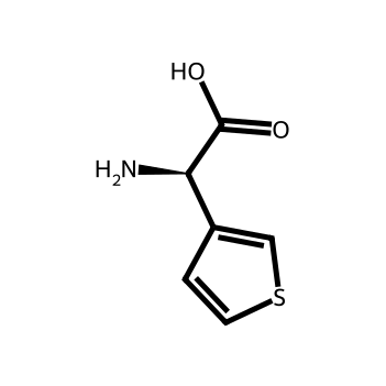 N[C@@H](C(=O)O)c1ccsc1